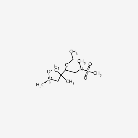 CCOC(CN(C)S(C)(=O)=O)C(C)(C)C[S@@+](C)[O-]